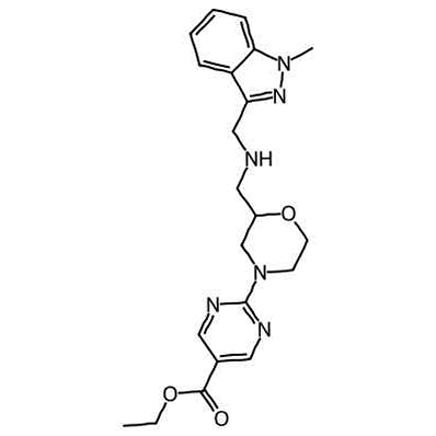 CCOC(=O)c1cnc(N2CCOC(CNCc3nn(C)c4ccccc34)C2)nc1